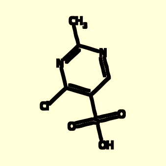 Cc1ncc(S(=O)(=O)O)c(Cl)n1